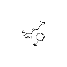 C(OCC1CO1)C1CO1.CCCCCCCCc1ccccc1O